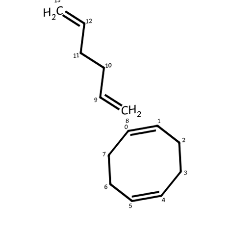 C1=CCCC=CCC1.C=CCCC=C